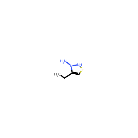 CCC1=CSNN1N